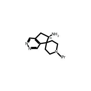 CC(C)N1CCC2(CC1)c1cnncc1C[C@H]2N